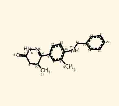 Cc1cc(C2=NNC(=O)CC2C)ccc1NCc1ccccc1